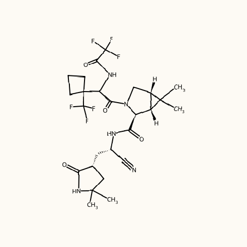 CC1(C)C[C@@H](C[C@@H](C#N)NC(=O)[C@@H]2[C@@H]3[C@H](CN2C(=O)C(NC(=O)C(F)(F)F)C2(C(F)(F)F)CCC2)C3(C)C)C(=O)N1